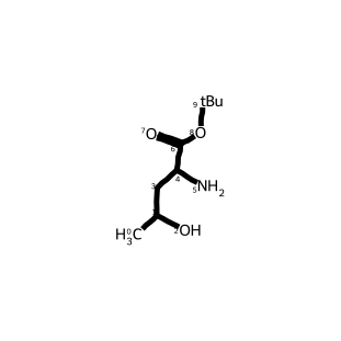 CC(O)CC(N)C(=O)OC(C)(C)C